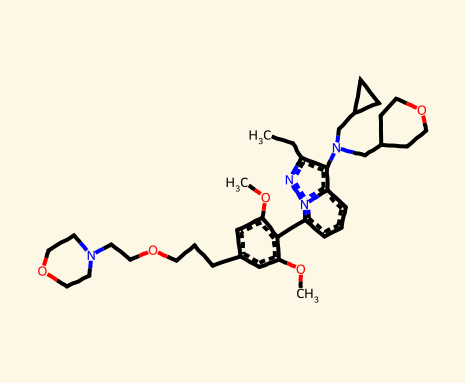 CCc1nn2c(-c3c(OC)cc(CCCOCCN4CCOCC4)cc3OC)cccc2c1N(CC1CCOCC1)CC1CC1